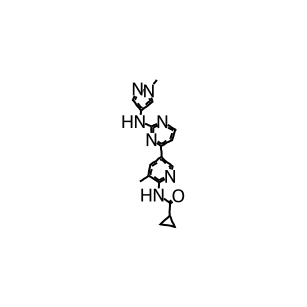 Cc1cc(-c2ccnc(Nc3cnn(C)c3)n2)cnc1NC(=O)C1CC1